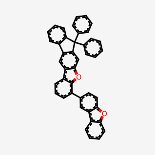 c1ccc(C2(c3ccccc3)c3ccccc3-c3cc4c(cc32)oc2c(-c3ccc5oc6ccccc6c5c3)cccc24)cc1